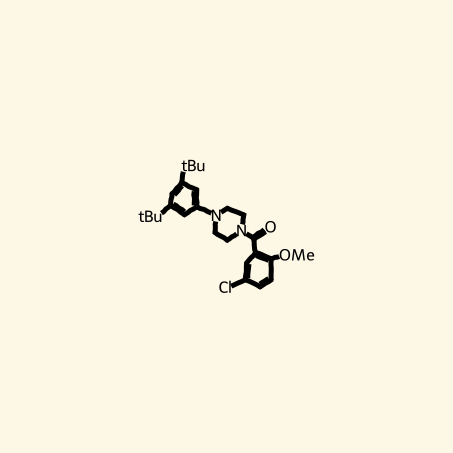 COc1ccc(Cl)cc1C(=O)N1CCN(c2cc(C(C)(C)C)cc(C(C)(C)C)c2)CC1